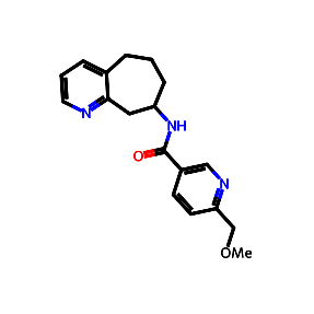 COCc1ccc(C(=O)NC2CCCc3cccnc3C2)cn1